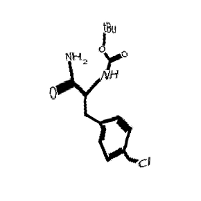 CC(C)(C)OC(=O)NC(Cc1ccc(Cl)cc1)C(N)=O